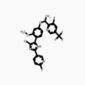 COc1cc(OC(C)c2ncc(C(F)(F)F)cc2F)ccc1-c1[nH]c(-c2ccc(F)nc2)nc1Cl